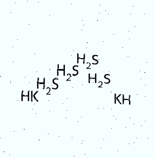 S.S.S.S.[KH].[KH]